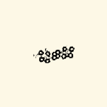 Cc1ccccc1-c1cccc2c1oc1c(N(c3ccc(F)cc3)c3ccc4ccc5c(N(c6ccc(F)cc6)c6cccc7c6oc6c(-c8ccccc8C)cccc67)ccc6ccc3c4c65)cccc12